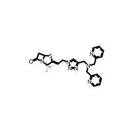 C[C@H]1/C(=C/Cn2cc(CN(Cc3ccccn3)Cc3ccccn3)nn2)SC2CC(=O)N21